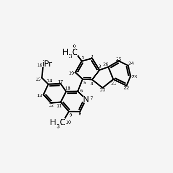 Cc1cc2c(c(-c3ncc(C)c4ccc(CC(C)C)cc34)c1)Cc1ccccc1-2